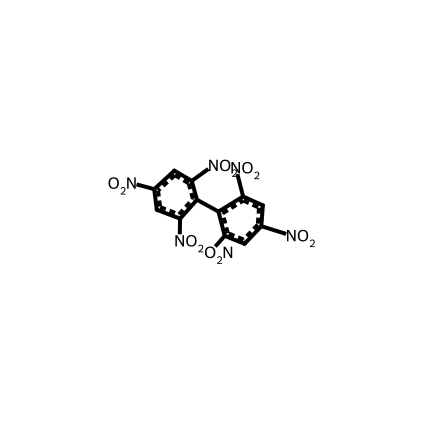 O=[N+]([O-])c1cc([N+](=O)[O-])c(-c2c([N+](=O)[O-])cc([N+](=O)[O-])cc2[N+](=O)[O-])c([N+](=O)[O-])c1